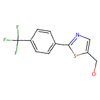 [O]Cc1cnc(-c2ccc(C(F)(F)F)cc2)s1